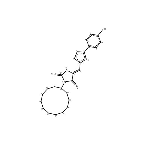 O=C1C(=Cc2ccc(-c3ccc(F)cc3)s2)SC(=S)N1C1CCCCCCCCCCC1